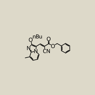 CCCCOc1nc2c(C)cccn2c1C=C(C#N)C(=O)OCc1ccccc1